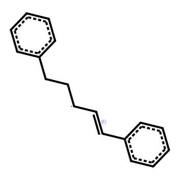 [CH](/C=C/c1ccccc1)CCc1ccccc1